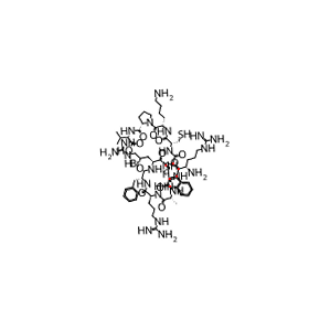 CC(C)[C@H](NC(=O)[C@@H]1CCCN1C(=O)[C@H](CCCCN)NC(=O)[C@H](CS)NC(=O)[C@@H](Cc1c[nH]c2ccccc12)NC(=O)[C@H](CC(Br)CNC(=N)N)NC(=O)[C@@H](Cc1ccccc1)NC(=O)[C@H](CCCNC(=N)N)NC(=O)[C@@H](C)NC(=O)[C@H](CS)NC(=O)[C@@H](N)CCCNC(=N)N)C(=O)O